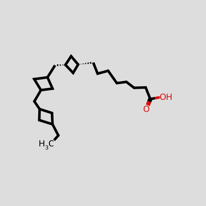 CCC1CC(CC2CC(C[C@H]3C[C@@H](CCCCCCCC(=O)O)C3)C2)C1